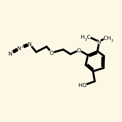 CN(C)c1ccc(CO)cc1OCCOCCN=[N+]=[N-]